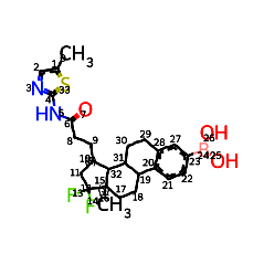 Cc1cnc(NC(=O)CC[C@@H]2CC(F)(F)[C@@]3(C)CCC4c5ccc(B(O)O)cc5CCC4C23)s1